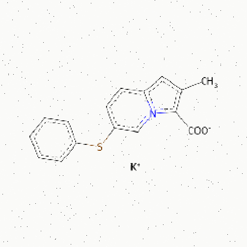 Cc1cc2ccc(Sc3ccccc3)cn2c1C(=O)[O-].[K+]